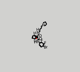 O=C(NCCCCN1CCCC1)[C@H]1[C@H](C(=O)Nc2ccc(Br)c(F)c2F)[C@@H]2C=C[C@H]1C21CC1